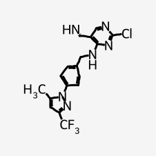 Cc1cc(C(F)(F)F)nn1-c1ccc(CNc2nc(Cl)ncc2C=N)cc1